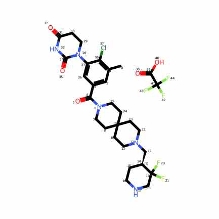 Cc1cc(C(=O)N2CCC3(CCN(C[C@@H]4CCNCC4(F)F)CC3)CC2)cc(N2CCC(=O)NC2=O)c1Cl.O=C(O)C(F)(F)F